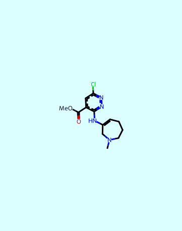 COC(=O)c1cc(Cl)nnc1NC1=CCCCN(C)C1